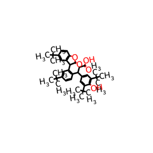 CC(C)(C)c1ccc2c(c1)C(c1cc(C(C)(C)C)ccc1C(CC(=O)O)c1cc(C(C)(C)C)c(O)c(C(C)(C)C)c1)C(=O)O2